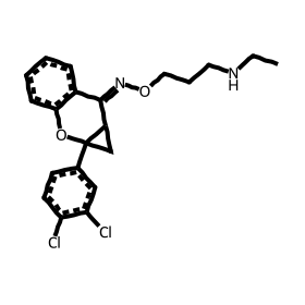 CCNCCCON=C1c2ccccc2OC2(c3ccc(Cl)c(Cl)c3)CC12